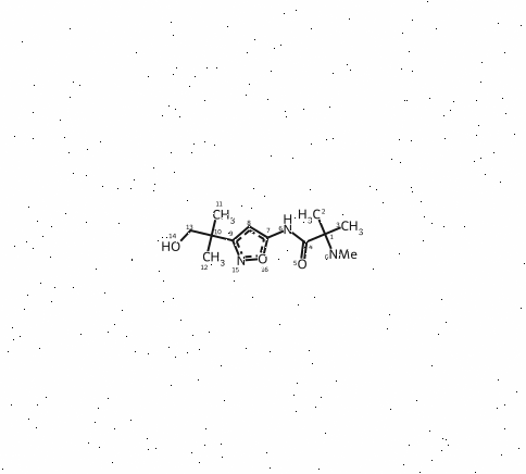 CNC(C)(C)C(=O)Nc1cc(C(C)(C)CO)no1